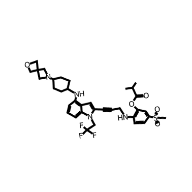 CC(C)C(=O)Oc1cc(S(C)(=O)=O)ccc1NCC#Cc1cc2c(NC3CCC(N4CC5(COC5)C4)CC3)cccc2n1CC(F)(F)F